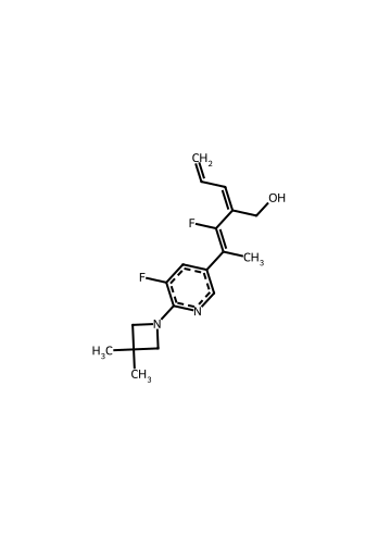 C=C/C=C(CO)\C(F)=C(/C)c1cnc(N2CC(C)(C)C2)c(F)c1